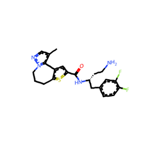 Cc1cnn2c1-c1cc(C(=O)N[C@H](CCN)Cc3ccc(F)c(F)c3)sc1CCC2